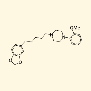 COc1ccccc1N1CCN(CCCCCc2ccc3c(c2)OCO3)CC1